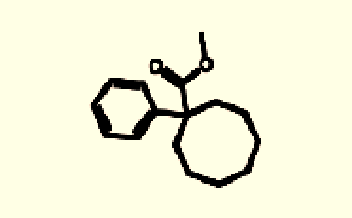 COC(=O)C1(c2ccccc2)CCCCCCC1